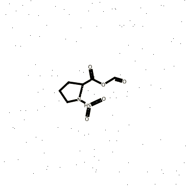 O=COC(=O)C1CCCN1[SH](=O)=O